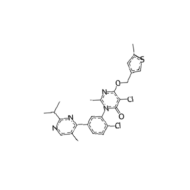 Cc1cc(COc2nc(C)n(-c3cc(-c4nc(C(C)C)ncc4C)ccc3Cl)c(=O)c2Cl)cs1